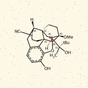 CO[C@]12CC[C@@]3(C[C@@H]1[C@](C)(O)C(C)(C)C)[C@H]1Cc4ccc(O)c5c4[C@@]3(CCN1C#N)[C@H]2O5